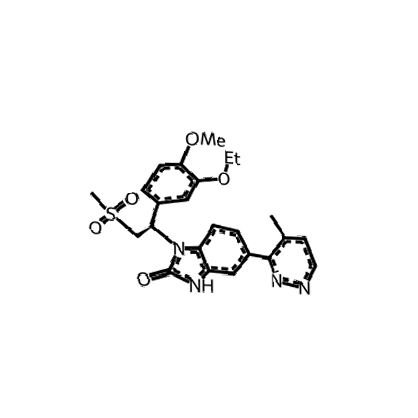 CCOc1cc([C@H](CS(C)(=O)=O)n2c(=O)[nH]c3cc(-c4nnccc4C)ccc32)ccc1OC